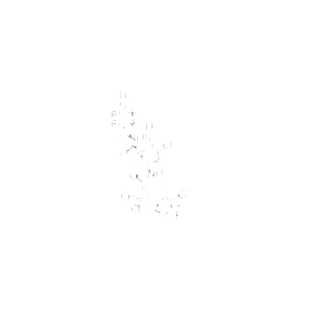 Cc1c(Cl)cc(NC(=O)C2C(c3ccc(F)c(Cl)c3)C2(Cl)Cl)cc1C(=O)NCC(F)(F)C(C)(F)F